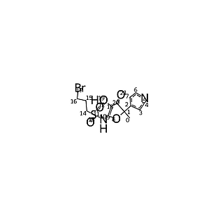 CC1(c2ccncc2)OC(NS(=O)(=O)CCCBr)=C(O)C1=O